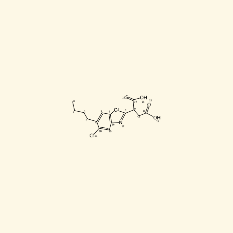 CCCCc1cc2oc(C(CC(=O)O)C(O)=S)nc2cc1Cl